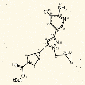 CC(C)(C)OC(=O)N1CC2C(C1)C2c1cc(-c2cnc(N)c(Cl)c2)nn1CC1CC1